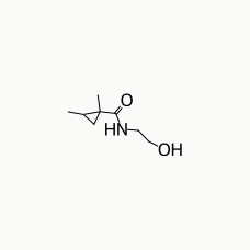 CC1CC1(C)C(=O)NCCO